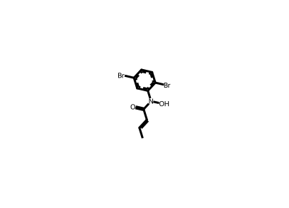 CC=CC(=O)N(O)c1cc(Br)ccc1Br